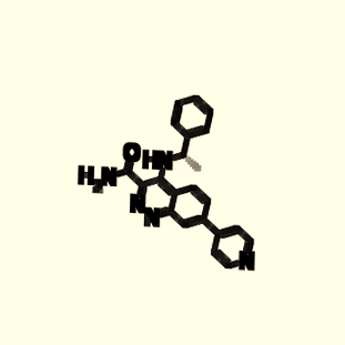 C[C@H](Nc1c(C(N)=O)nnc2cc(-c3ccncc3)ccc12)c1ccccc1